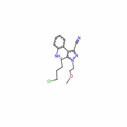 COCCn1nc(C#N)c(-c2ccccc2N)c1CCCCCl